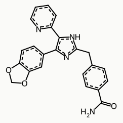 NC(=O)c1ccc(Cc2nc(-c3ccc4c(c3)OCO4)c(-c3ccccn3)[nH]2)cc1